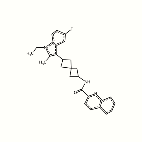 CCn1c(C)c(C2CC3(CC(NC(=O)c4ccc5ccccc5n4)C3)C2)c2cc(F)ccc21